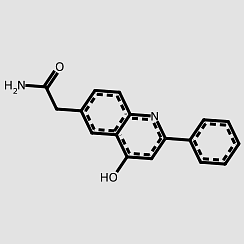 NC(=O)Cc1ccc2nc(-c3ccccc3)cc(O)c2c1